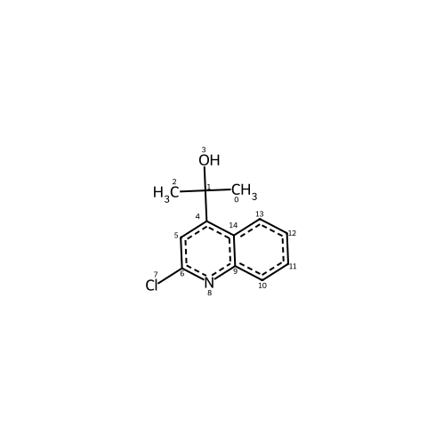 CC(C)(O)c1cc(Cl)nc2ccccc12